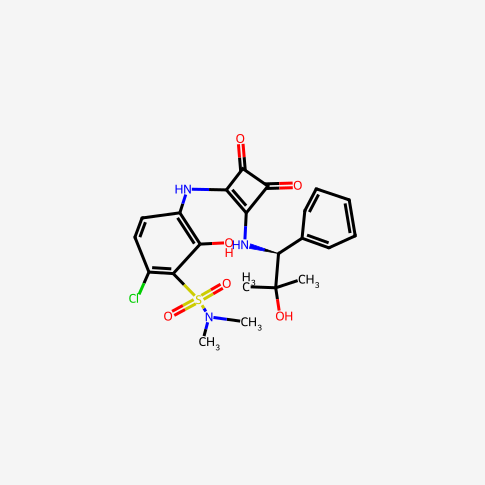 CN(C)S(=O)(=O)c1c(Cl)ccc(Nc2c(N[C@@H](c3ccccc3)C(C)(C)O)c(=O)c2=O)c1O